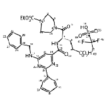 CCOC(=O)N1CCN(C(=O)[C@H](CCC(=O)O)NC(=O)c2cc(NCc3ccccc3)nc(-c3ccccc3)n2)CC1.O=S(=O)(O)C(F)(F)F